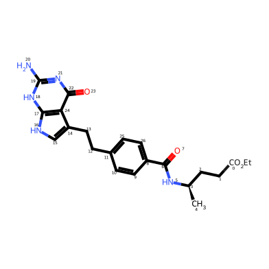 CCOC(=O)CC[C@@H](C)NC(=O)c1ccc(CCc2c[nH]c3[nH]c(N)nc(=O)c23)cc1